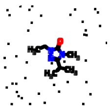 CCn1nc(C(C)C)n(C)c1=O